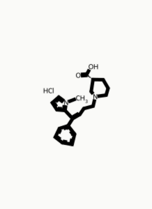 Cl.Cn1cccc1C(=CCCN1CCC[C@@H](C(=O)O)C1)c1ccccc1